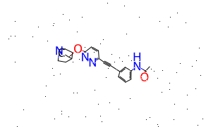 CC(=O)Nc1cccc(C#Cc2ccc(OC3CN4CCC3CC4)nn2)c1